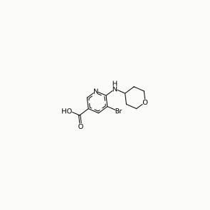 O=C(O)c1cnc(NC2CCOCC2)c(Br)c1